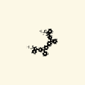 Cc1sc(-c2ccc(N(c3ccccc3)c3ccc(-c4ccc(N(c5ccccc5)c5ccc(-c6sc(C)c7ccccc67)cc5)cc4)cc3)cc2)c2c1C=CCC2